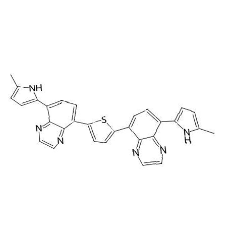 Cc1ccc(-c2ccc(-c3ccc(-c4ccc(-c5ccc(C)[nH]5)c5nccnc45)s3)c3nccnc23)[nH]1